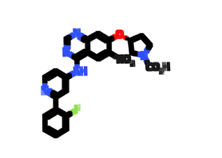 O=C(O)N1CC[C@@H](Oc2cc3ncnc(Nc4ccnc(-c5ccccc5F)c4)c3cc2[N+](=O)[O-])C1